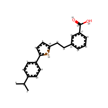 CC(C)c1ccc(-c2ccc(CCc3cccc(C(=O)O)c3)s2)cc1